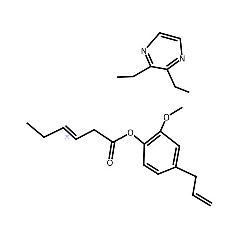 C=CCc1ccc(OC(=O)C/C=C/CC)c(OC)c1.CCc1nccnc1CC